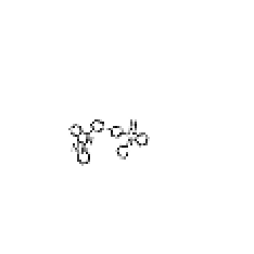 c1ccc(N2c3ccccc3NC2c2ccc(-c3cccc(-c4nc5c(nc6ccccn65)c5ccccc45)c3)cc2)cc1